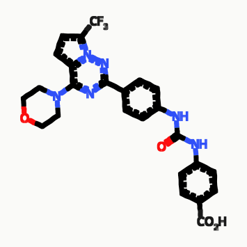 O=C(Nc1ccc(C(=O)O)cc1)Nc1ccc(-c2nc(N3CCOCC3)c3ccc(C(F)(F)F)n3n2)cc1